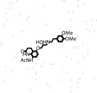 COc1ccc(CCNCC(O)COc2ccc(NC(C)=O)c3c2CCC(=O)N3)cc1OC